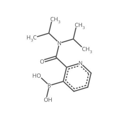 CC(C)N(C(=O)c1ncccc1B(O)O)C(C)C